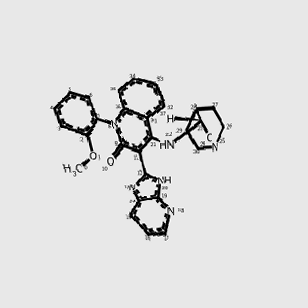 COc1ccccc1-n1c(=O)c(-c2nc3cccnc3[nH]2)c(N[C@H]2CN3CCC2CC3)c2ccccc21